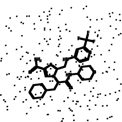 NC(=O)C1=CN(C(CC2CCCCC2)C(=O)NC2CCOCC2)C(CNc2ccnc(C(F)(F)F)c2)S1